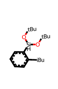 CCC(C)c1ccccc1[SiH](OC(C)(C)C)OC(C)(C)C